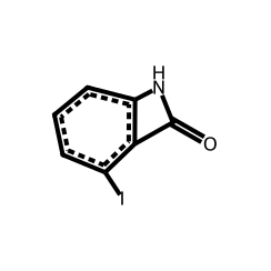 O=C1Nc2cccc(I)c21